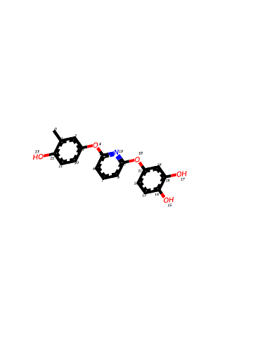 Cc1cc(Oc2cccc(Oc3ccc(O)c(O)c3)n2)ccc1O